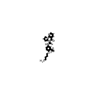 CCCCCOc1ccc(NC(=S)NC(=O)c2cccnc2N2CCCC2)cc1C(F)(F)F